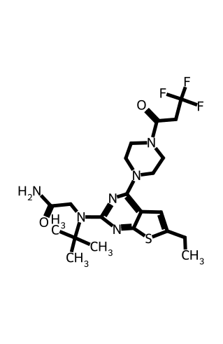 CCc1cc2c(N3CCN(C(=O)CC(F)(F)F)CC3)nc(N(CC(N)=O)C(C)(C)C)nc2s1